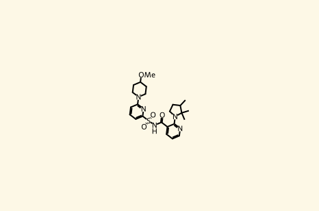 COC1CCN(c2cccc(S(=O)(=O)NC(=O)c3cccnc3N3CCC(C)C3(C)C)n2)CC1